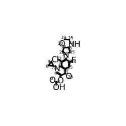 O=C(O)Oc1cn(C2CC2)c2c(Cl)c(N3CC4NCCOC4C3)c(F)cc2c1=O